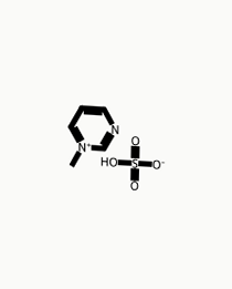 C[n+]1cccnc1.O=S(=O)([O-])O